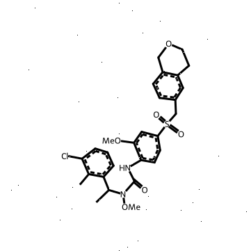 COc1cc(S(=O)(=O)Cc2ccc3c(c2)CCOC3)ccc1NC(=O)N(OC)C(C)c1cccc(Cl)c1C